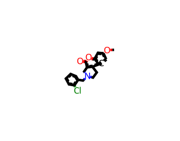 COc1ccc2c3c(c(=O)oc2c1)CN(Cc1ccccc1Cl)CC3